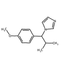 COc1ccc(C(C(C)C)n2ccnc2)cc1